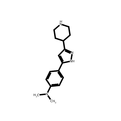 CN(C)c1ccc(-c2cc(C3CCNCC3)n[nH]2)cc1